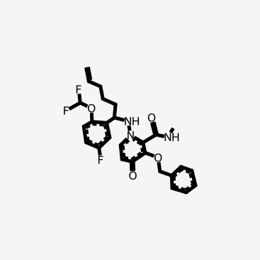 C=CCCCC(Nn1ccc(=O)c(OCc2ccccc2)c1C(=O)NC)c1cc(F)ccc1OC(F)F